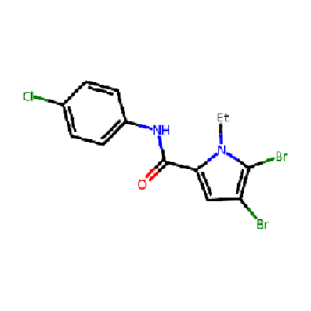 CCn1c(C(=O)Nc2ccc(Cl)cc2)cc(Br)c1Br